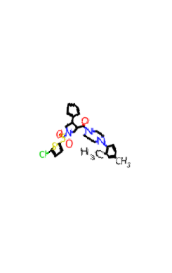 Cc1ccc(N2CCN(C(=O)C3CN(S(=O)(=O)c4ccc(Cl)s4)CC3c3ccccc3)CC2)c(C)c1